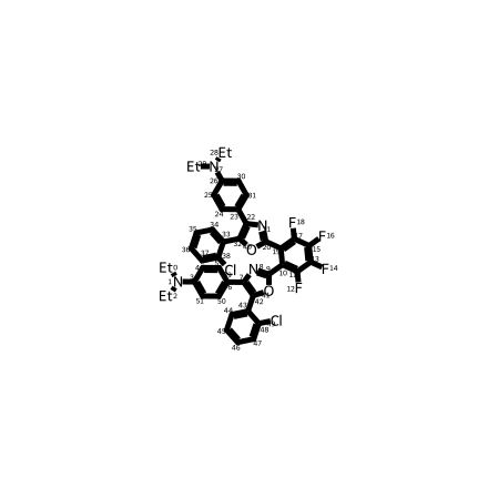 CCN(CC)c1ccc(-c2nc(-c3c(F)c(F)c(F)c(F)c3-c3nc(-c4ccc(N(CC)CC)cc4)c(-c4ccccc4Cl)o3)oc2-c2ccccc2Cl)cc1